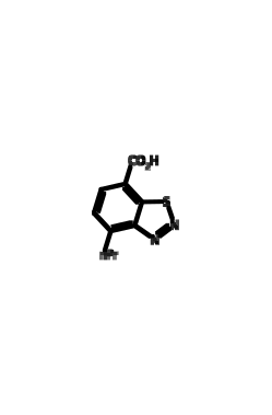 CCCc1ccc(C(=O)O)c2snnc12